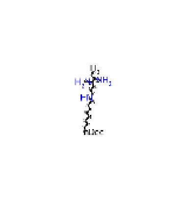 CCCCCCCCCCCCCCCCCCNCCCC(N)C(C)N